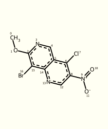 COc1ncc2c(Cl)c([N+](=O)[O-])cnc2c1Br